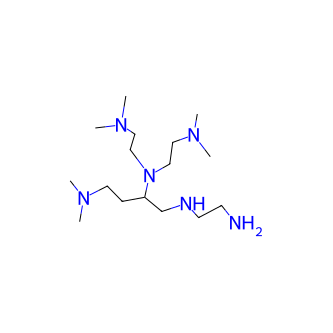 CN(C)CCC(CNCCN)N(CCN(C)C)CCN(C)C